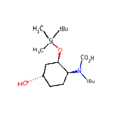 CC(C)(C)N(C(=O)O)[C@H]1CC[C@H](O)C[C@H]1O[Si](C)(C)C(C)(C)C